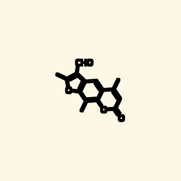 Cc1oc2c(C)c3oc(=O)cc(C)c3cc2c1C=O